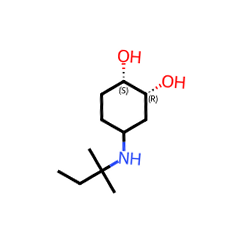 CCC(C)(C)NC1CC[C@H](O)[C@H](O)C1